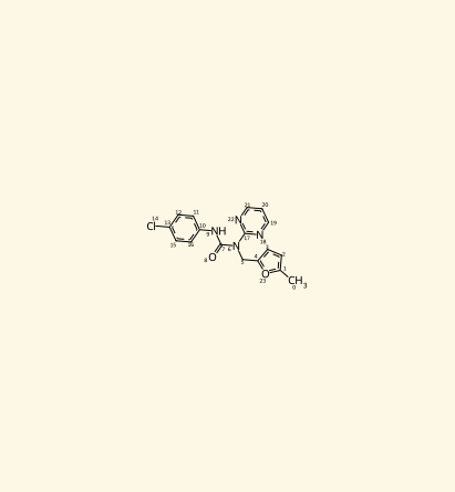 Cc1ccc(CN(C(=O)Nc2ccc(Cl)cc2)c2ncccn2)o1